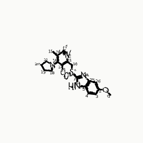 COc1ccc2[nH]c([S+]([O-])Cc3ncc(C)c(N4CCCC4)c3Cl)nc2c1